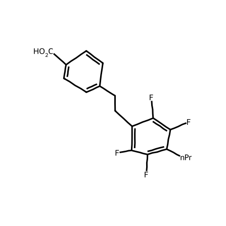 CCCc1c(F)c(F)c(CCc2ccc(C(=O)O)cc2)c(F)c1F